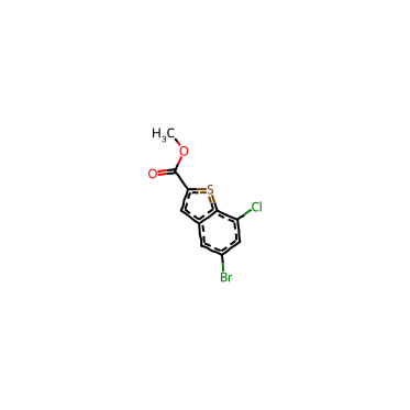 COC(=O)c1cc2cc(Br)cc(Cl)c2s1